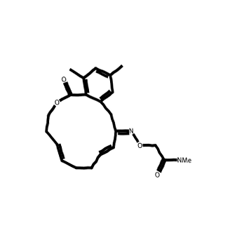 CNC(=O)CO/N=C1\C=C\CC/C=C/CCOC(=O)c2c(C)cc(C)cc2C1